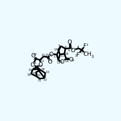 CC(F)(F)COC(=O)C1C2CC3C(OC(=O)C31)C2OC(=O)CC1OC2(OC1=O)C1CC3CC(C1)CC2C3